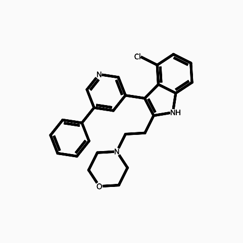 Clc1cccc2[nH]c(CCN3CCOCC3)c(-c3cncc(-c4ccccc4)c3)c12